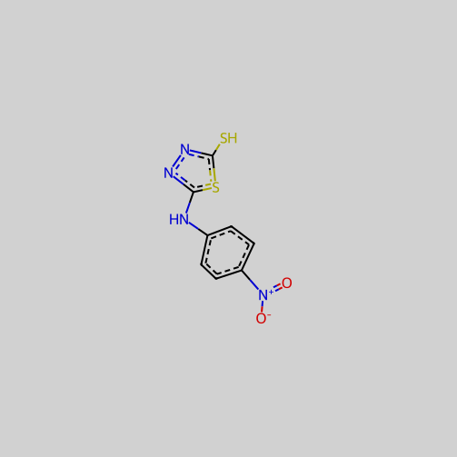 O=[N+]([O-])c1ccc(Nc2nnc(S)s2)cc1